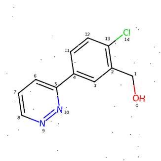 OCc1cc(-c2cccnn2)ccc1Cl